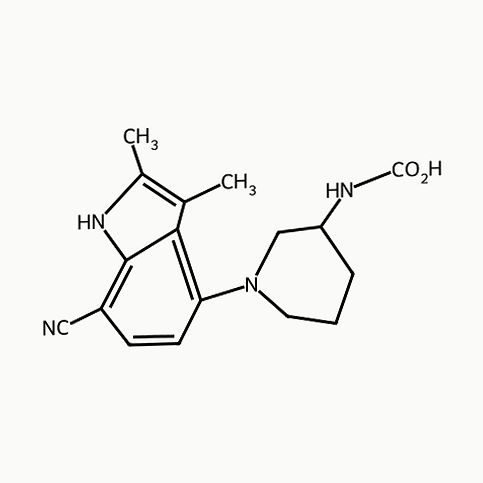 Cc1[nH]c2c(C#N)ccc(N3CCCC(NC(=O)O)C3)c2c1C